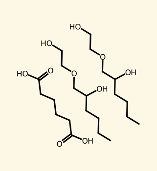 CCCCC(O)COCCO.CCCCC(O)COCCO.O=C(O)CCCCC(=O)O